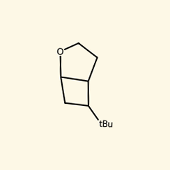 CC(C)(C)C1CC2OCCC21